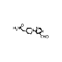 NC(=O)CC1CCN(c2cc(C=O)ncn2)CC1